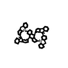 CC12c3ccc4c(c3)N(c3ccc5c6c7cc(ccc7c(c5c3)-c3ccc(c1c3)-c1ccccc12)N1c2ccccc2Cc2ccc(cc21)C1(C)c2ccccc2-c2ccc-6cc21)c1ccccc1C4